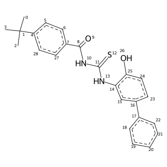 CC(C)(C)c1ccc(C(=O)NC(=S)Nc2cc(-c3ccccc3)ccc2O)cc1